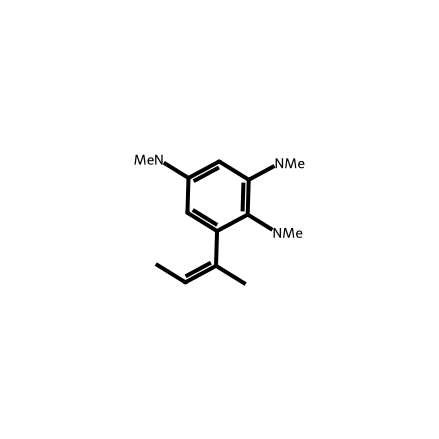 C/C=C(/C)c1cc(NC)cc(NC)c1NC